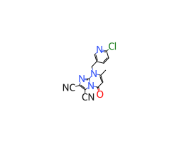 Cc1cc(=O)n2c(C#N)c(C#N)nc2n1Cc1ccc(Cl)nc1